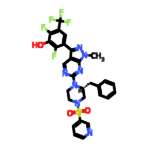 Cn1nc(-c2cc(C(F)(F)F)c(F)c(O)c2F)c2cnc(N3CCN(S(=O)(=O)c4cccnc4)C[C@H]3Cc3ccccc3)nc21